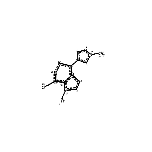 CC(C)n1ccc2c(-c3cnn(C)c3)cnc(Cl)c21